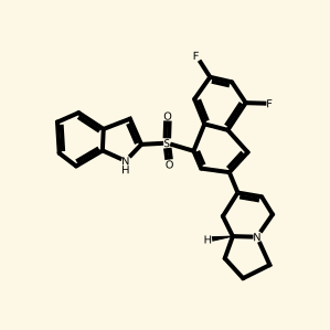 O=S(=O)(c1cc2ccccc2[nH]1)c1cc(C2=CCN3CCC[C@@H]3C2)cc2c(F)cc(F)cc12